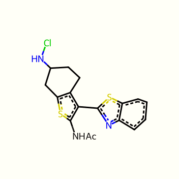 CC(=O)Nc1sc2c(c1-c1nc3ccccc3s1)CCC(NCl)C2